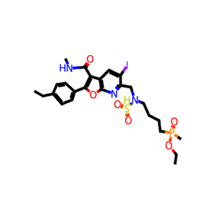 CCOP(C)(=O)CCCCN(Cc1nc2oc(-c3ccc(CC)cc3)c(C(=O)NC)c2cc1I)[SH](=O)=O